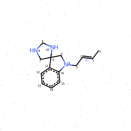 C/C=C/CN1CC2(CNCN2)c2ccccc21